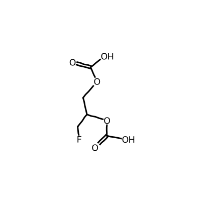 O=C(O)OCC(CF)OC(=O)O